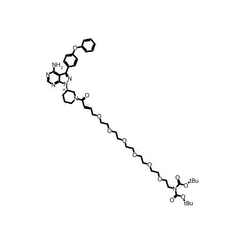 CC(C)(C)OC(=O)N(CCOCCOCCOCCOCCOCCOC/C=C/C(=O)N1CCC[C@@H](n2nc(-c3ccc(Oc4ccccc4)cc3)c3c(N)ncnc32)C1)C(=O)OC(C)(C)C